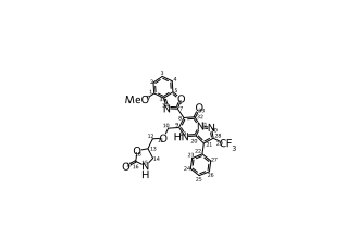 COc1cccc2oc(-c3c(COCC4CNC(=O)O4)[nH]c4c(-c5ccccc5)c(C(F)(F)F)nn4c3=O)nc12